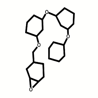 C1CCC(OC2CCCC(OC3CCCC(OCC4CCC5OC5C4)C3)C2)CC1